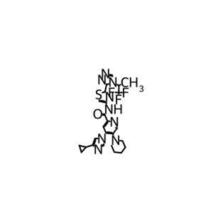 CC(n1cnnc1-c1nc(NC(=O)c2cc(-n3cnc(C4CC4)c3)c(N3CCCCC3)cn2)cs1)C(F)(F)F